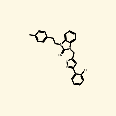 Cc1ccc(CCn2c(=N)n(Cc3cc(-c4ccccc4Cl)no3)c3ccccc32)cc1